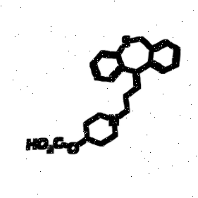 O=C(O)OC1CCN(CCC=C2c3ccccc3CSc3ccccc32)CC1